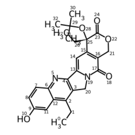 CCc1c2c(nc3ccc(O)cc13)-c1cc3c(c(=O)n1C2)COC(=O)[C@@]3(CC)OC(C)(C)C